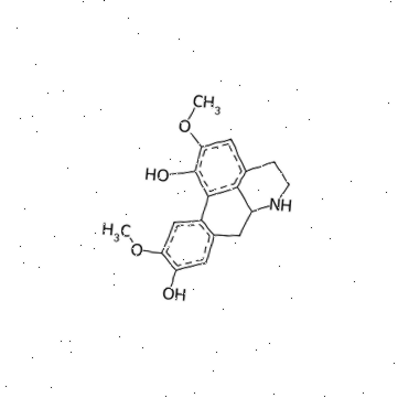 COc1cc2c(cc1O)CC1NCCc3cc(OC)c(O)c-2c31